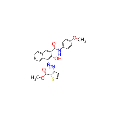 COC(=O)c1sccc1/N=N/c1c(O)c(C(=O)Nc2ccc(OC)cc2)cc2ccccc12